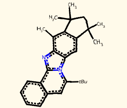 Cc1c2c(cc3c1nc1c4ccccc4cc(C(C)(C)C)n31)C(C)(C)CC2(C)C